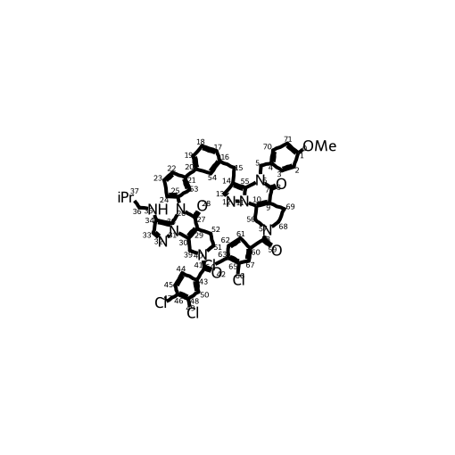 COc1ccc(Cn2c(=O)c3c(n4ncc(Cc5cccc(-c6cccc(-n7c(=O)c8c(n9ncc(NCC(C)C)c79)CN(C(=O)c7ccc(Cl)c(Cl)c7)CC8)c6)c5)c24)CN(C(=O)c2ccc(Cl)c(Cl)c2)CC3)cc1